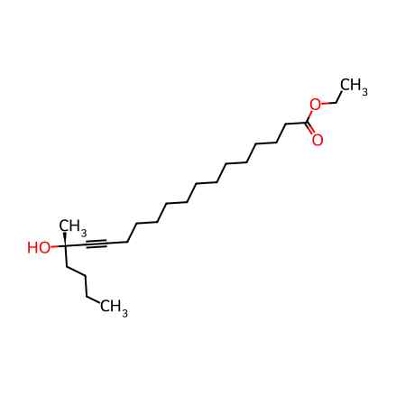 CCCC[C@](C)(O)C#CCCCCCCCCCCCCC(=O)OCC